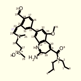 CCCN(CCC)C(=O)C1=Cc2c(cc(-c3ccc(C=O)c(/C=C\N(C)CC[S+](C)[O-])c3)cc2OC)N=C(N)C1